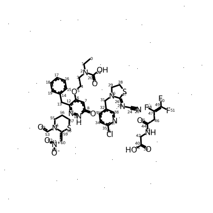 CCN(CCOc1cc(=O)[nH]nc1Cc1ccccc1)C(=O)O.N#CN=C1SCCN1Cc1ccc(Cl)nc1.O=C(O)CNC(=O)CC(F)=C(F)F.O=CN1CCCSC1=C[N+](=O)[O-]